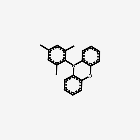 Cc1cc(C)c(N2c3ccccc3Oc3ccccc32)c(C)c1